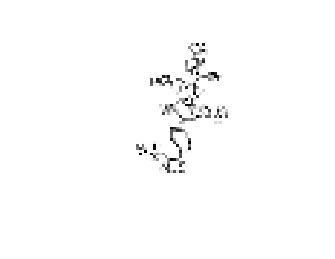 Cc1ncsc1-c1ccc(C(CC(=O)O)NC(=O)[C@@H]2C[C@@H](O)CN2C(=O)C(C(C)C)n2ccc(C#N)n2)cc1